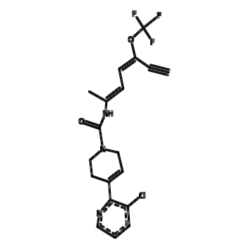 C#C/C(=C\C=C(/C)NC(=O)N1CC=C(c2ncccc2Cl)CC1)OC(F)(F)F